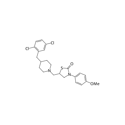 COc1ccc(N2CC(CN3CCC(Cc4cc(Cl)ccc4Cl)CC3)SC2=O)cc1